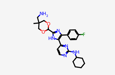 CC1(CN)COC(c2nc(-c3ccc(F)cc3)c(-c3ccnc(NC4CCCCC4)n3)[nH]2)OC1